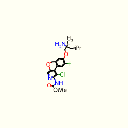 COC(=O)Nc1ncc2c(c1Cl)-c1cc(F)c(OCC(C)(N)CC(C)C)cc1CO2